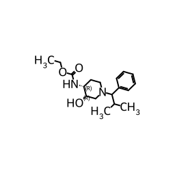 CCOC(=O)N[C@@H]1CCN(C(c2ccccc2)C(C)C)C[C@H]1O